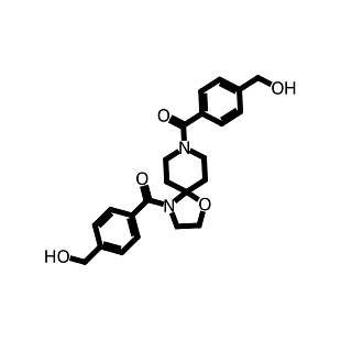 O=C(c1ccc(CO)cc1)N1CCC2(CC1)OCCN2C(=O)c1ccc(CO)cc1